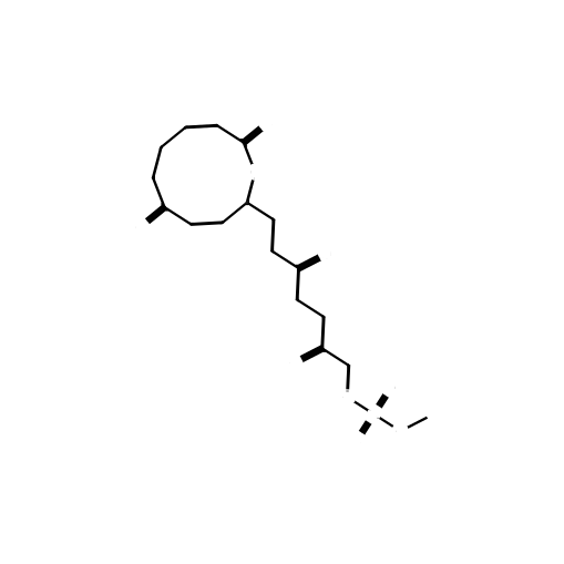 COS(=O)(=O)OCC(=O)CCC(=O)CCC1CCC(=O)CCCCC(=O)O1